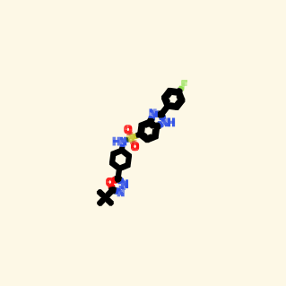 CC(C)(C)c1nnc(C2CCC(NS(=O)(=O)c3ccc4[nH]c(-c5ccc(F)cc5)nc4c3)CC2)o1